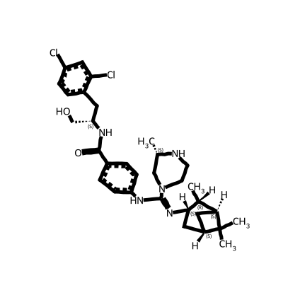 C[C@H]1[C@@H](N=C(Nc2ccc(C(=O)N[C@H](CO)Cc3ccc(Cl)cc3Cl)cc2)N2CCN[C@@H](C)C2)C[C@@H]2C[C@@H]1C2(C)C